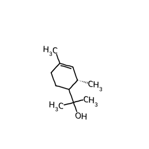 CC1=C[C@H](C)C(C(C)(C)O)CC1